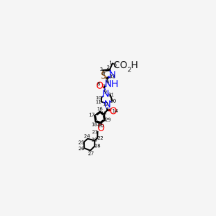 O=C(O)Cc1csc(NC(=O)N2CCN(C(=O)c3cccc(OCCC4CCCCC4)c3)CC2)n1